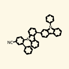 N#Cc1ccc(-n2c3ccccc3c3c(-c4ccc5c6ccccc6n(-c6ccccc6)c5c4)cccc32)c(-c2ccccc2)c1